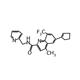 Cc1cc(C(=O)NCc2ccccn2)nc2c(C(F)(F)F)cc(C3=CCCC3)cc12